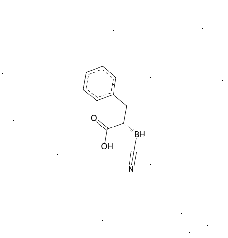 N#CB[C@@H](Cc1ccccc1)C(=O)O